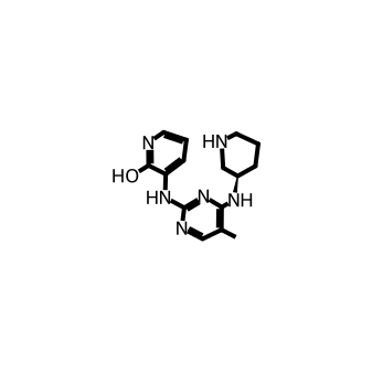 Cc1cnc(Nc2cccnc2O)nc1N[C@@H]1CCCNC1